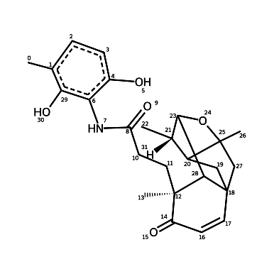 Cc1ccc(O)c(NC(=O)CC[C@]2(C)C(=O)C=CC34CC5[C@H](C)C(OC5(C)C3)C42)c1O